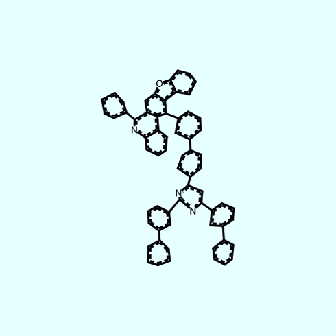 c1ccc(-c2cccc(-c3cc(-c4ccc(-c5cccc(-c6c7c(cc8c(-c9ccccc9)nc9ccccc9c68)oc6ccccc67)c5)cc4)nc(-c4cccc(-c5ccccc5)c4)n3)c2)cc1